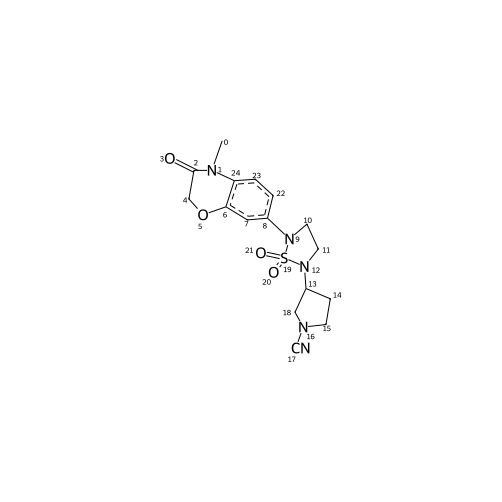 CN1C(=O)COc2cc(N3CCN(C4CCN(C#N)C4)S3(=O)=O)ccc21